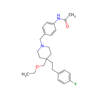 CCOCC1(CCc2ccc(F)cc2)CCN(Cc2ccc(NC(C)=O)cc2)CC1